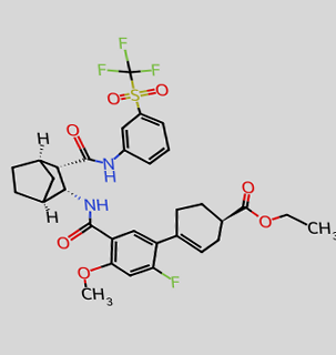 CCOC(=O)[C@H]1CC=C(c2cc(C(=O)N[C@@H]3[C@H]4CC[C@H](C4)[C@@H]3C(=O)Nc3cccc(S(=O)(=O)C(F)(F)F)c3)c(OC)cc2F)CC1